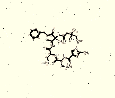 COC[C@H](NC(=O)c1cnc(C)s1)C(=O)N[C@@H](COC)C(=O)NC(I)[C@@](C)(OC(=O)CC(C)(C)COC(C)=O)C(=O)CCc1ccccc1